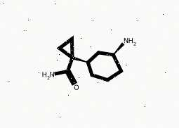 NC(=O)C1([C@@H]2CCC[C@H](N)C2)CC1